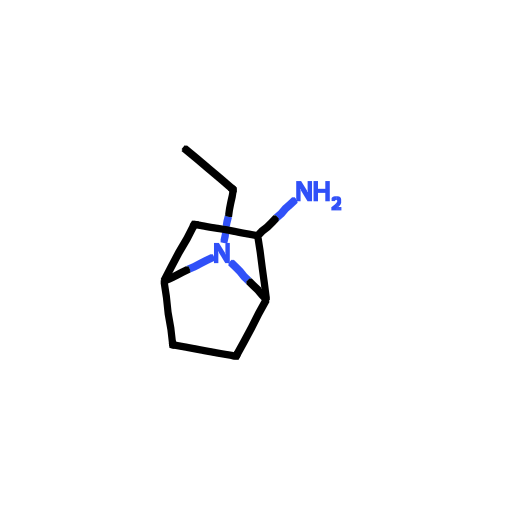 CCN1C2CCC1C(N)C2